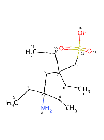 CCC(N)(CC)CC(CC)(CC)CS(=O)(=O)O